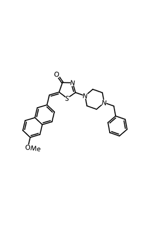 COc1ccc2cc(/C=C3\SC(N4CCN(Cc5ccccc5)CC4)=NC3=O)ccc2c1